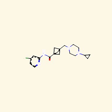 O=C(Nc1cc(Br)ccn1)C12CC(CN3CCN(C4CC4)CC3)(C1)C2